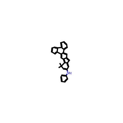 CC1(C)C=C(Nc2ccccc2)C=C2C=c3cc4c5ccccc5c5ccccc5c4cc3=C21